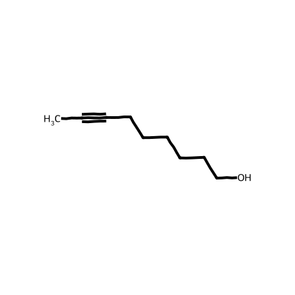 CC#CCCCCCCO